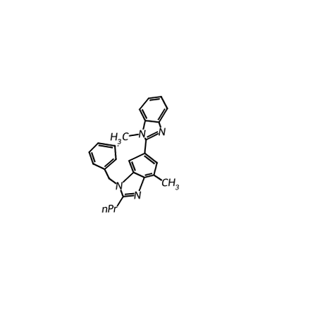 CCCc1nc2c(C)cc(-c3nc4ccccc4n3C)cc2n1Cc1c[c]ccc1